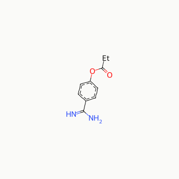 CCC(=O)Oc1ccc(C(=N)N)cc1